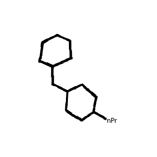 CCCC1CCC(CC2CCCCC2)CC1